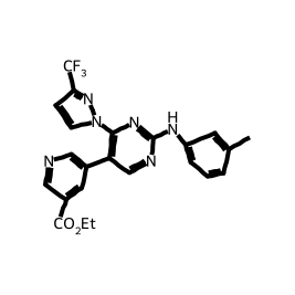 CCOC(=O)c1cncc(-c2cnc(Nc3cccc(C)c3)nc2-n2ccc(C(F)(F)F)n2)c1